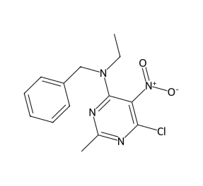 CCN(Cc1ccccc1)c1nc(C)nc(Cl)c1[N+](=O)[O-]